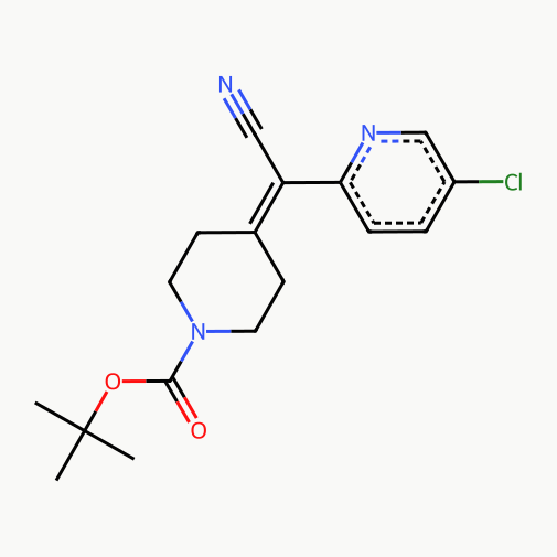 CC(C)(C)OC(=O)N1CCC(=C(C#N)c2ccc(Cl)cn2)CC1